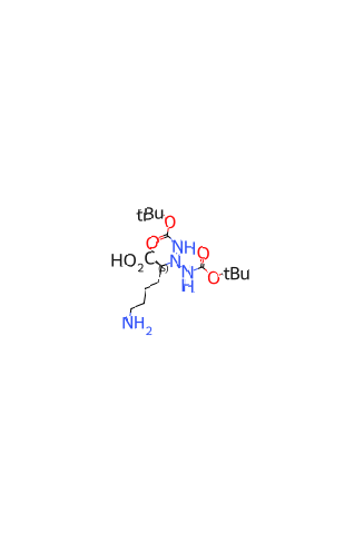 CC(C)(C)OC(=O)NN(NC(=O)OC(C)(C)C)[C@@H](CCCCN)C(=O)O